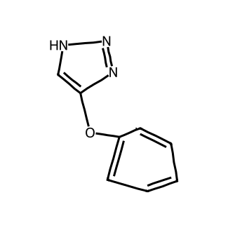 [c]1ccccc1Oc1c[nH]nn1